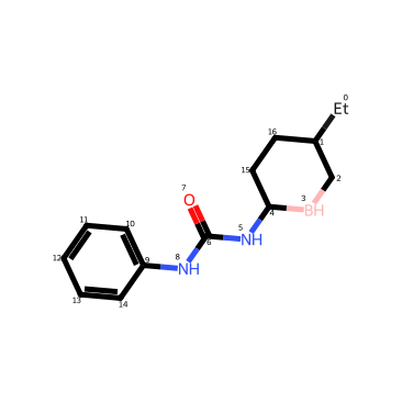 CCC1CBC(NC(=O)Nc2ccccc2)CC1